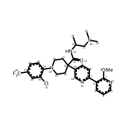 COc1ncccc1-c1ccc(C2(C(=O)NC(C)CN(C)C)CCN(c3ccc(C(F)(F)F)cc3Cl)CC2)cn1